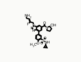 COc1ccc(-c2cc(C(=O)N3CCCC3)cc3c2nnn3C/C(F)=C/CN)cc1S(=O)(=O)NC1CC1.Cl